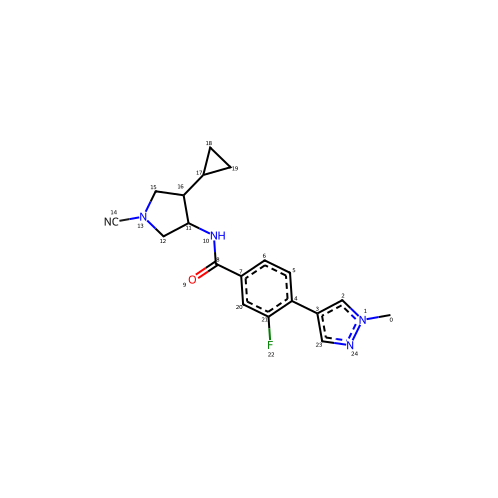 Cn1cc(-c2ccc(C(=O)NC3CN(C#N)CC3C3CC3)cc2F)cn1